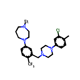 CCN1CCCN(c2ccc(C(F)(F)F)c(CN3CCN(c4ccc(C)c(Cl)c4)CC3)c2)CC1